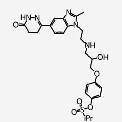 Cc1nc2cc(C3=NNC(=O)CC3)ccc2n1CCNCC(O)COc1ccc(OS(=O)(=O)C(C)C)cc1